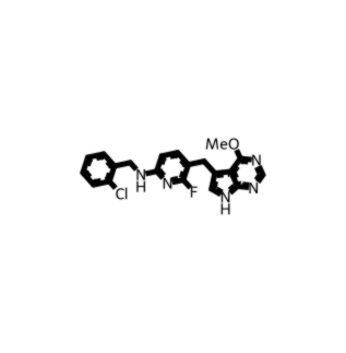 COc1ncnc2[nH]cc(Cc3ccc(NCc4ccccc4Cl)nc3F)c12